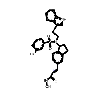 O=C(/C=C/c1ccc2c(c1)CCC2N(CCc1c[nH]c2ccccc12)S(=O)(=O)c1cccc(O)c1)NO